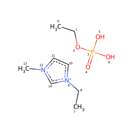 CCOP(=O)(O)O.CC[n+]1ccn(C)c1